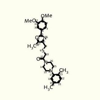 COc1ccc(-c2nc(CSCC(=O)N3CCN(c4cc(C)ccc4C)CC3)c(C)o2)cc1OC